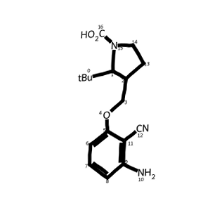 CC(C)(C)C1C(COc2cccc(N)c2C#N)CCN1C(=O)O